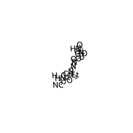 CCc1cc2c(cc1N1CCC(N3CCN(C(=O)COc4cccc5c4C(=O)N(C4CCC(=O)NC4=O)C5=O)CC3)CC1)C(C)(C)c1[nH]c3cc(C#N)ccc3c1C2=O